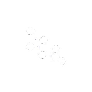 O=c1c2ccccc2c2cccc3c2n1-c1cccc2c1[SH]3c1cccc3c1N2c1ccccc1N3c1ccccc1